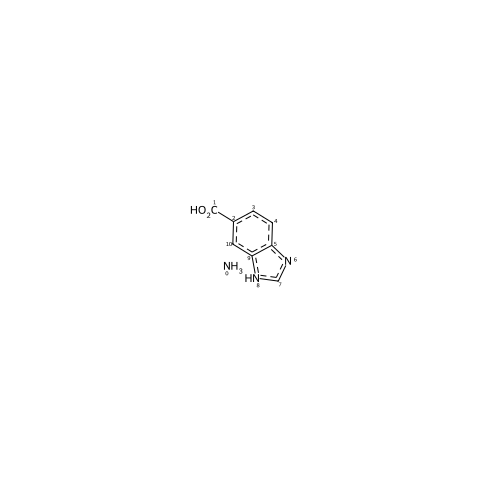 N.O=C(O)c1ccc2nc[nH]c2c1